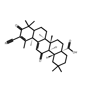 CC1=C(C#N)C(=O)C(C)(C)C2CC[C@]3(C)C(=CC(=O)[C@@H]4[C@H]5CC(C)(C)CC[C@]5(C(=O)O)CC[C@]43C)[C@@]12C